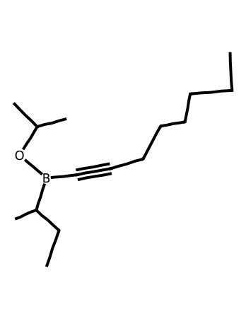 CCCCCCC#CB(OC(C)C)C(C)CC